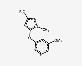 COc1cnnc(Oc2cc(C(F)(F)F)nn2C)c1